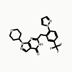 O=c1[nH]c(Cc2cc(C(F)(F)F)ccc2-n2cccn2)nc2c1cnn2C1CCOCC1